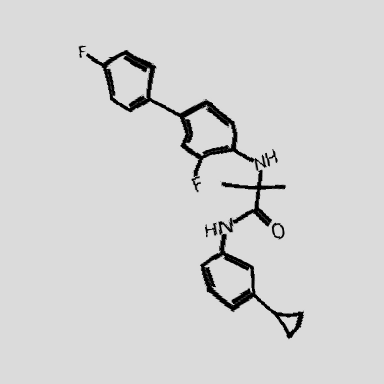 CC(C)(Nc1ccc(-c2ccc(F)cc2)cc1F)C(=O)Nc1cccc(C2CC2)c1